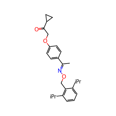 C/C(=N\OCc1c(C(C)C)cccc1C(C)C)c1ccc(OCC(=O)C2CC2)cc1